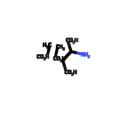 CC(=O)O.CC(=O)O.NC(CC(=O)O)C(=O)O